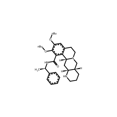 CCCCOc1cc2c(c(C(=O)N[C@H](C)c3ccccc3)c1OCCCC)[C@H]1C[C@H]3NCCC[C@H]3CN1CC2